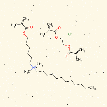 C=C(C)C(=O)OCCCCCC[N+](C)(C)CCCCCCCCCCCC.C=C(C)C(=O)OCCOC(=O)C(=C)C.[Cl-]